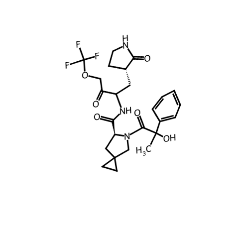 CC(O)(C(=O)N1CC2(CC2)C[C@H]1C(=O)NC(C[C@@H]1CCNC1=O)C(=O)COC(F)(F)F)c1ccccc1